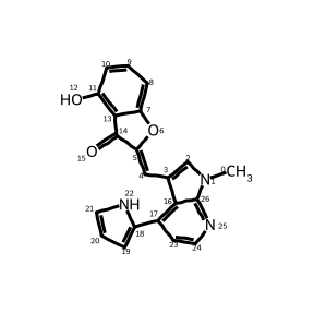 Cn1cc(C=C2Oc3cccc(O)c3C2=O)c2c(-c3ccc[nH]3)ccnc21